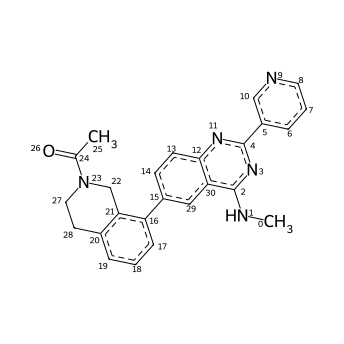 CNc1nc(-c2cccnc2)nc2ccc(-c3cccc4c3CN(C(C)=O)CC4)cc12